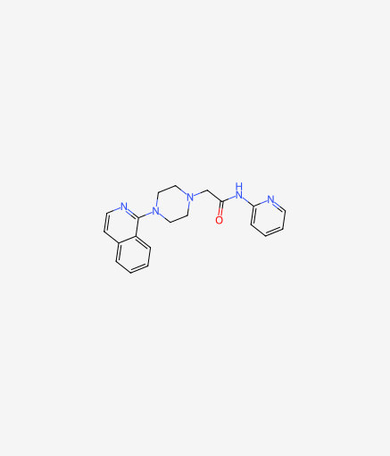 O=C(CN1CCN(c2nccc3ccccc23)CC1)Nc1ccccn1